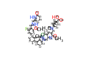 COc1cc(-c2cccc(-c3cccc4c3cnn4Cc3nc(OC)c(CN(C)C45CCC(C(=O)O)(CC4)CC5)cc3Cl)c2C)cc(F)c1CNC[C@@H]1CCCC(=O)N1